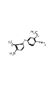 COc1cc(Sc2ccc(N)c(OC)c2)ccc1N